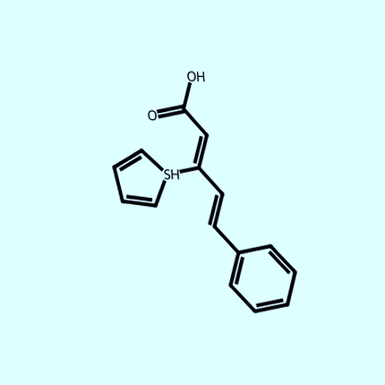 O=C(O)C=C(C=Cc1ccccc1)[SH]1C=CC=C1